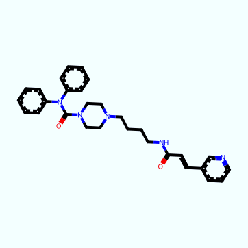 O=C(C=Cc1cccnc1)NCCCCN1CCN(C(=O)N(c2ccccc2)c2ccccc2)CC1